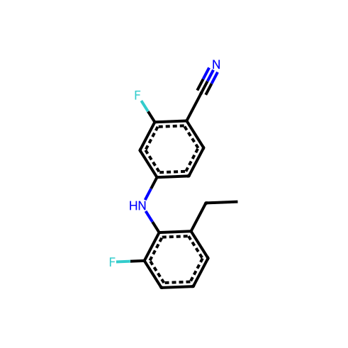 CCc1cccc(F)c1Nc1ccc(C#N)c(F)c1